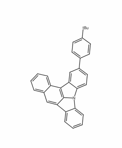 CC(C)(C)c1ccc(-c2ccc3c(c2)c2c4ccccc4cc4c5ccccc5n3c42)cc1